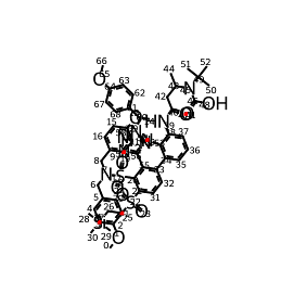 COc1ccc(CN(Cc2ccc(OC)cc2)S(=O)(=O)c2c(S(=O)(=O)CC[Si](C)(C)C)ccc(-c3cccc(NC(=O)CC(C)N(C(=O)O)C(C)(C)C)c3N)c2-c2nnn(Cc3ccc(OC)cc3)n2)cc1